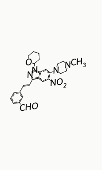 CN1CCN(c2cc3c(cc2[N+](=O)[O-])c(C=Cc2cccc(C=O)c2)nn3C2CCCCO2)CC1